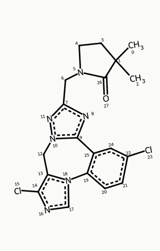 CC1(C)CCN(Cc2nc3n(n2)Cc2c(Cl)ncn2-c2ccc(Cl)cc2-3)C1=O